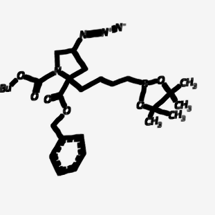 CC(C)(C)OC(=O)N1CC(N=[N+]=[N-])CC1(CCCCB1OC(C)(C)C(C)(C)O1)C(=O)OCc1ccccc1